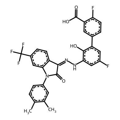 Cc1ccc(N2C(=O)/C(=N\Nc3cc(F)cc(-c4ccc(F)c(C(=O)O)c4)c3O)c3ccc(C(F)(F)F)cc32)cc1C